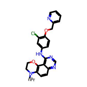 C[CH]CN1CCOc2c1ccc1ncnc(Nc3ccc(OCc4ccccn4)c(Cl)c3)c21